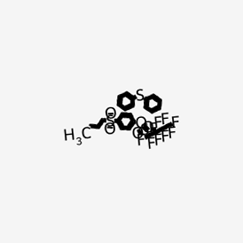 CCCCS(=O)(=O)c1ccc(OS(=O)(=O)C(F)(F)C(F)(F)C(F)(F)C(F)(F)F)cc1.c1ccc(Sc2ccccc2)cc1